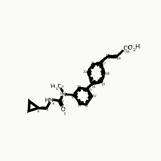 CN(C(=O)NCC1CC1)c1cccc(-c2ccc(C=CC(=O)O)cc2)c1